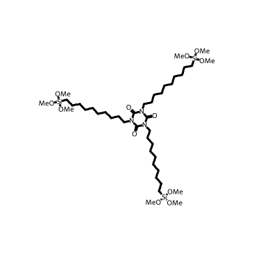 CO[Si](CCCCCCCCCCn1c(=O)n(CCCCCCCCCC[Si](OC)(OC)OC)c(=O)n(CCCCCCCCCC[Si](OC)(OC)OC)c1=O)(OC)OC